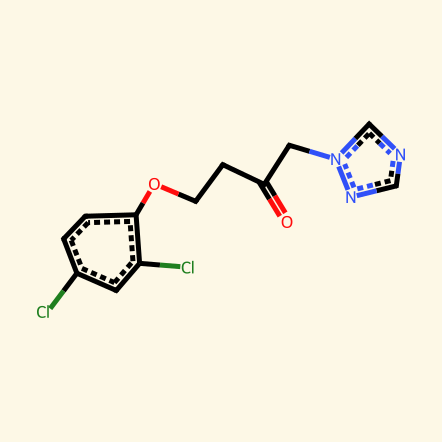 O=C(CCOc1ccc(Cl)cc1Cl)Cn1cncn1